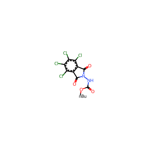 CCCCOC(=O)NN1C(=O)c2c(Cl)c(Cl)c(Cl)c(Cl)c2C1=O